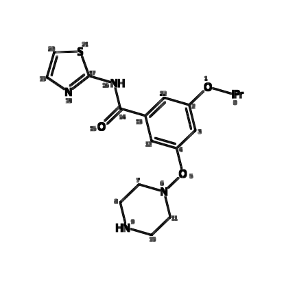 CC(C)Oc1cc(ON2CCNCC2)cc(C(=O)Nc2nccs2)c1